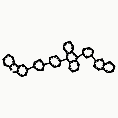 c1cc(-c2ccc3ccccc3c2)cc(-c2c3ccccc3c(-c3ccc(-c4ccc(-c5ccc6oc7ccccc7c6c5)cc4)cc3)c3ccccc23)c1